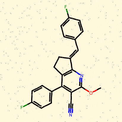 COc1nc2c(c(-c3ccc(F)cc3)c1C#N)CCC2=Cc1ccc(F)cc1